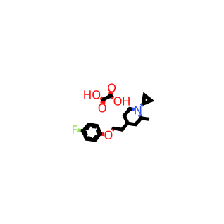 CC1CC(CCOc2ccc(F)cc2)CCN1C1CC1.O=C(O)C(=O)O